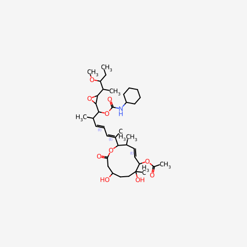 CCC(OC)C(C)C1OC1C(OC(=O)NC1CCCCC1)C(C)/C=C/C=C(\C)C1OC(=O)CC(O)CCC(C)(O)C(OC(C)=O)/C=C/C1C